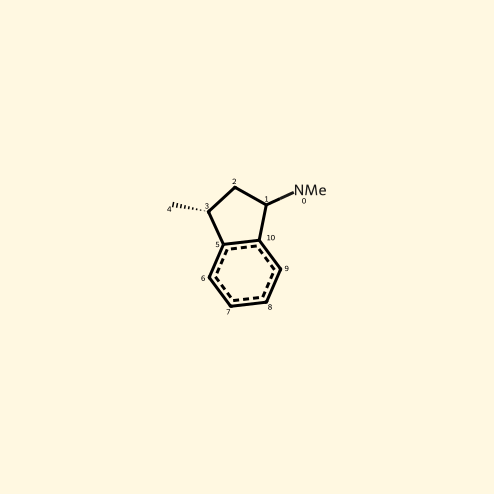 CNC1C[C@@H](C)c2ccccc21